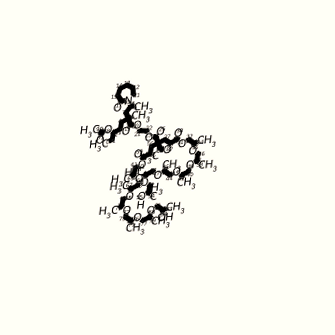 CCC(CCC(C)(CC(C)N1CCCCCC1=O)C(=O)OCCOC(=O)C(CCC(=O)OCC(C)OCC(C)OCC(C)OCC(C)OCC(C)OCC(C)O)(CCC(=O)OCC(C)OCC(C)OCC(C)OCC(C)OCC(C)OCC(C)O)C(C)=O)OC(C)=O